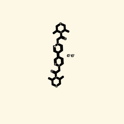 CC1COCC(C)N1C(=O)CN1[C+]=CC(=C2C=[C+]N(CC(=O)N3C(C)COCC3C)C=C2)C=C1.[Cl-].[Cl-]